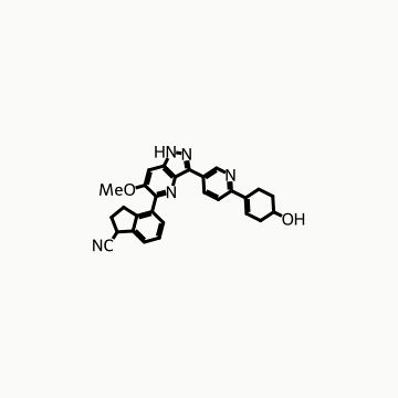 COc1cc2[nH]nc(-c3ccc(C4=CCC(O)CC4)nc3)c2nc1-c1cccc2c1CCC2C#N